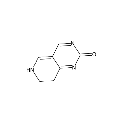 O=C1N=CC2=CNCCC2=N1